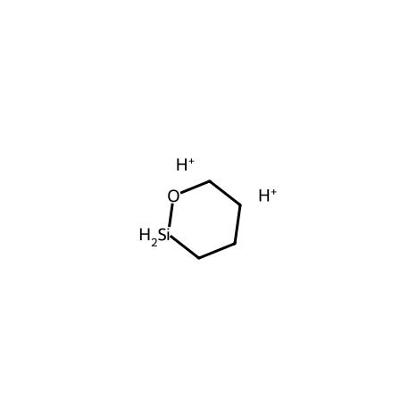 C1CC[SiH2]OC1.[H+].[H+]